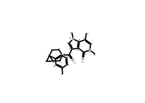 Cc1cccc(C23CCN(C(=O)c4cn(C)c5c(C)cn(C)c(=O)c45)CC2C3)c1